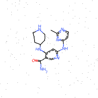 Cc1nccc(Nc2cc(NC3CCNCC3)c(C(N)=O)cn2)n1